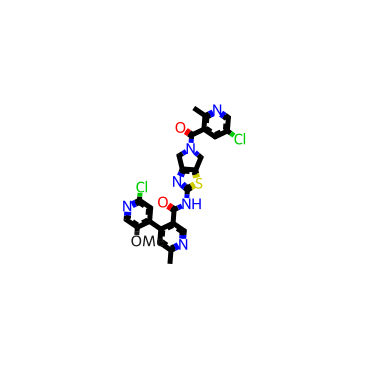 COc1cnc(Cl)cc1-c1cc(C)ncc1C(=O)Nc1nc2c(s1)CN(C(=O)c1cc(Cl)cnc1C)C2